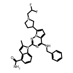 Cc1cc2c(C(N)=O)cccc2n1-c1nc(NCc2ccccc2)c2ccc(C3CCN(CC(F)F)C3)n2n1